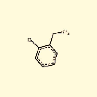 FC(F)(F)Cc1ccccc1Cl